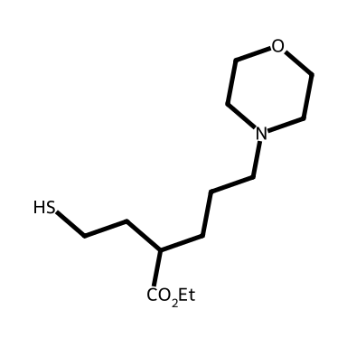 CCOC(=O)C(CCS)CCCN1CCOCC1